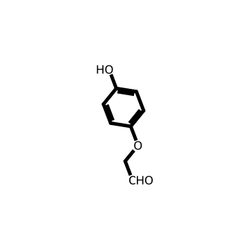 O=CCOc1ccc(O)cc1